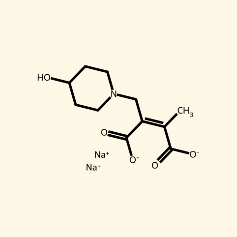 C/C(C(=O)[O-])=C(\CN1CCC(O)CC1)C(=O)[O-].[Na+].[Na+]